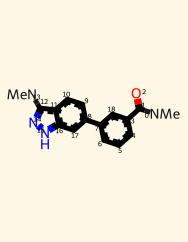 CNC(=O)c1cccc(-c2ccc3c(NC)n[nH]c3c2)c1